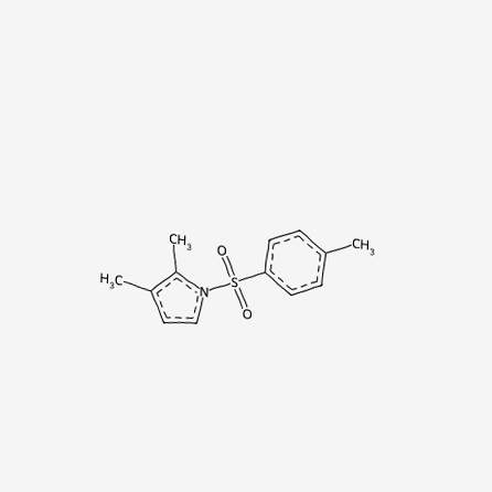 Cc1ccc(S(=O)(=O)n2ccc(C)c2C)cc1